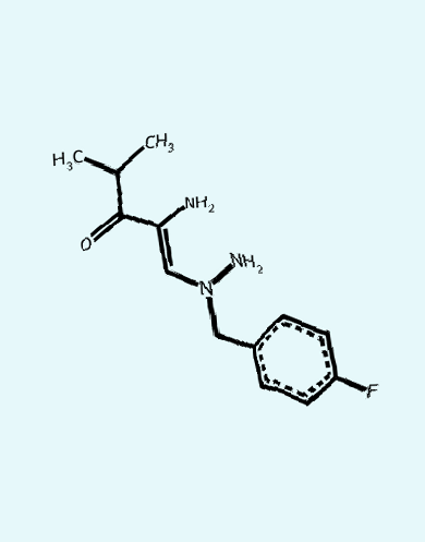 CC(C)C(=O)/C(N)=C/N(N)Cc1ccc(F)cc1